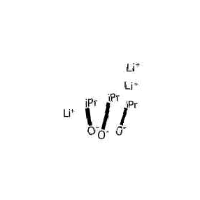 CC(C)[O-].CC(C)[O-].CC(C)[O-].[Li+].[Li+].[Li+]